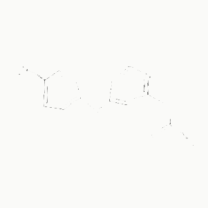 NC(=O)Cc1cc(Oc2ccc([N+](=O)[O-])cc2)ccn1